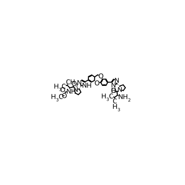 COC(=O)N[C@H](C(=O)N1CCC[C@H]1c1ncc(C2=CC3Oc4ccc(-c5cnc([C@@H]6CCCN6C(=O)[C@@H](N)C(C)C)[nH]5)cc4OCC3C=C2)[nH]1)C(C)C